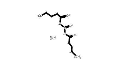 CCCCC(=O)OS(=O)OC(=O)CCCC.[NaH]